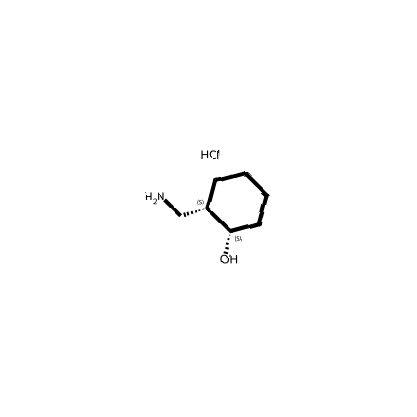 Cl.NC[C@@H]1CCCC[C@@H]1O